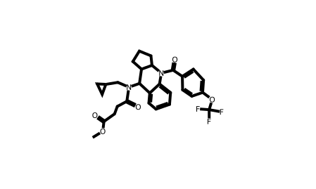 COC(=O)CCC(=O)N(CC1CC1)C1c2ccccc2N(C(=O)c2ccc(OC(F)(F)F)cc2)C2CCCC12